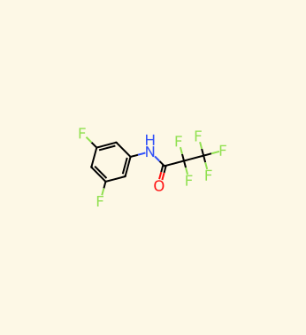 O=C(Nc1cc(F)cc(F)c1)C(F)(F)C(F)(F)F